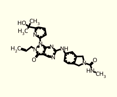 C=CCn1c(=O)c2cnc(Nc3ccc4c(c3)CN(C(=O)NC)C4)nc2n1-c1cccc(C(C)(C)O)n1